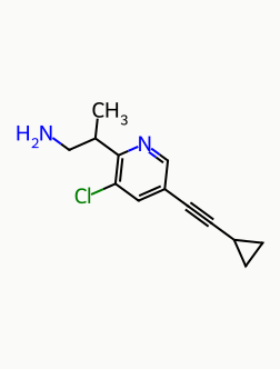 CC(CN)c1ncc(C#CC2CC2)cc1Cl